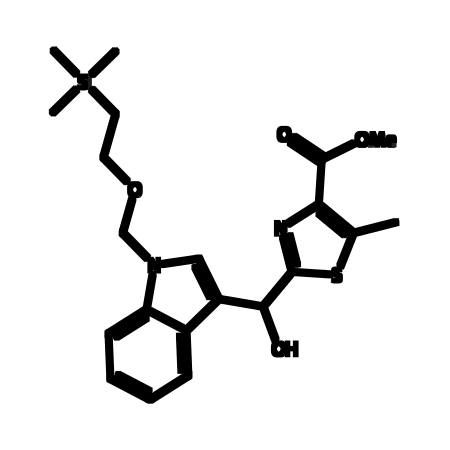 COC(=O)c1nc(C(O)c2cn(COCC[Si](C)(C)C)c3ccccc23)sc1C